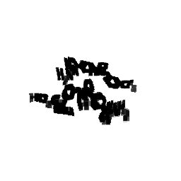 CC(C)(C)N(Cc1cccc(CNC(=O)c2ccc(-c3ccnc(N)n3)cc2)c1)C(=O)O.Nc1nccc(-c2ccc(C(=O)NCc3cccc(C(F)(F)F)c3)cc2)n1